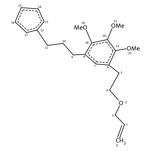 C=CCOCCc1[c]c(CCCc2ccccc2)c(OC)c(OC)c1OC